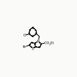 CCOC(=O)c1cc2sc(Br)cc2n1Cc1cccc(Cl)c1